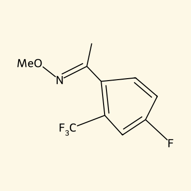 CON=C(C)c1ccc(F)cc1C(F)(F)F